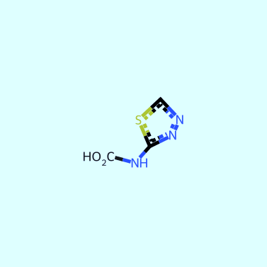 O=C(O)Nc1nncs1